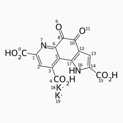 O=C(O)c1cc(C(=O)O)c2c(n1)C(=O)C(=O)c1cc(C(=O)O)[nH]c1-2.[K].[K]